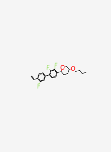 C=Cc1ccc(-c2ccc(C3CCC(OCCCC)CO3)c(F)c2F)cc1F